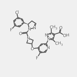 Cc1nn(-c2cc(OC3CN(C(=O)N4N=CC[C@@H]4c4cc(F)cc(Cl)c4)C3)c(F)cn2)c(C)c1C(=O)O